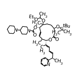 CCOC(C)O[C@]1(C)CC[C@@H](O[Si](C)(C)C(C)(C)C)CC(=O)O[C@H](/C(C)=C/C=C/[C@@H](C)c2ccccn2)[C@@H](C)/C=C/[C@@H]1OC(=O)N1CCC(N2CCCCC2)CC1